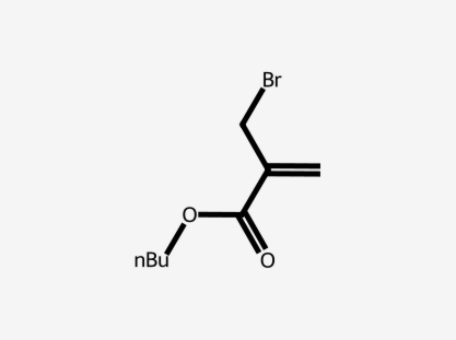 C=C(CBr)C(=O)OCCCC